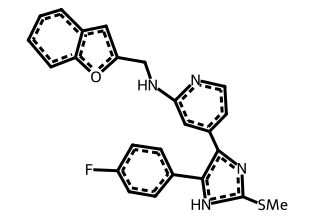 CSc1nc(-c2ccnc(NCc3cc4ccccc4o3)c2)c(-c2ccc(F)cc2)[nH]1